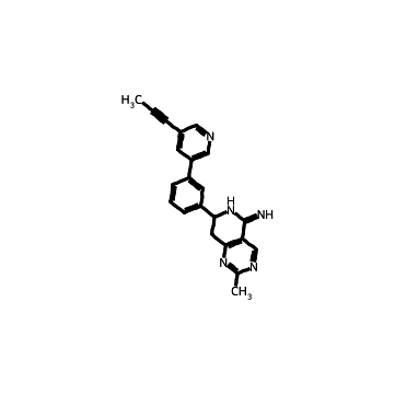 CC#Cc1cncc(-c2cccc(C3Cc4nc(C)ncc4C(=N)N3)c2)c1